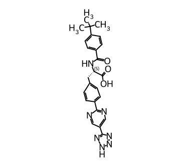 CC(C)(C)c1ccc(C(=O)N[C@@H](Cc2ccc(-c3ncc(-c4nn[nH]n4)cn3)cc2)C(=O)O)cc1